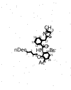 CCCCCCCCCCCCCCOc1c(NC(=O)c2ccccc2CC2=[N+]C(C)=CS2)cccc1C(C)=O.[Br-]